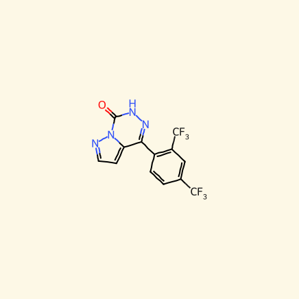 O=c1[nH]nc(-c2ccc(C(F)(F)F)cc2C(F)(F)F)c2ccnn12